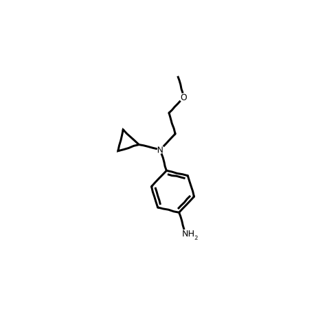 COCCN(c1ccc(N)cc1)C1CC1